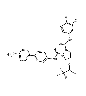 Cc1cc(NC(=O)N2CCC[C@@H]2C(=O)Nc2ccc(-c3ccc(C(=O)O)cc3)cc2)cnc1C(C)C.O=C(O)C(F)(F)F